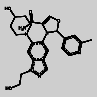 Cc1cc(C2OC=C(C(N)=O)N2c2cc3cnn(CCO)c3cc2N2CCC(O)CC2)ccn1